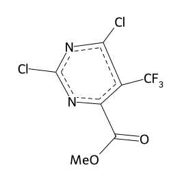 COC(=O)c1nc(Cl)nc(Cl)c1C(F)(F)F